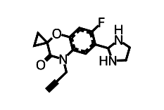 C#CCN1C(=O)C2(CC2)Oc2cc(F)c(C3NCCN3)cc21